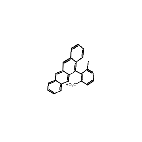 Cc1cccc(C(=O)O)c1-c1c2ccccc2cc2cc3ccccc3cc12